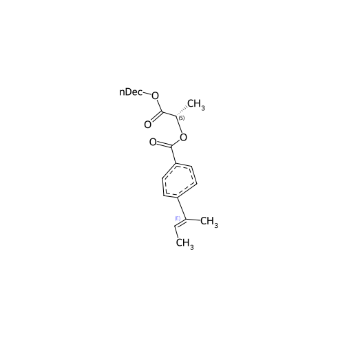 C/C=C(\C)c1ccc(C(=O)O[C@@H](C)C(=O)OCCCCCCCCCC)cc1